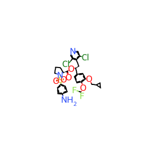 Nc1ccc(S(=O)(=O)N2CCC[C@H]2C(=O)O[C@@H](Cc2c(Cl)cncc2Cl)c2ccc(OC(F)F)c(OCC3CC3)c2)cc1